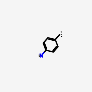 [C]c1ccc([N])cc1